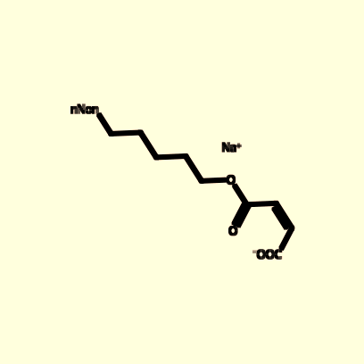 CCCCCCCCCCCCCCOC(=O)/C=C\C(=O)[O-].[Na+]